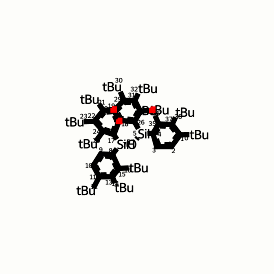 CC(C)(C)c1ccc([SiH](O[SiH](c2ccc(C(C)(C)C)c(C(C)(C)C)c2C(C)(C)C)c2ccc(C(C)(C)C)c(C(C)(C)C)c2C(C)(C)C)c2ccc(C(C)(C)C)c(C(C)(C)C)c2C(C)(C)C)c(C(C)(C)C)c1C(C)(C)C